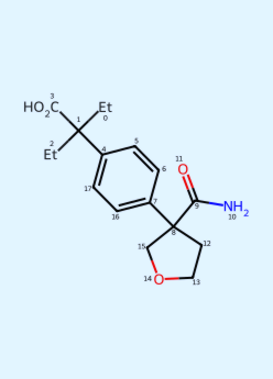 CCC(CC)(C(=O)O)c1ccc(C2(C(N)=O)CCOC2)cc1